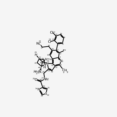 Cc1nc2c(F)c(-c3cccc(Cl)c3Cl)c(CCC#N)cc2c2c1cc([C@@H](C)NC(=O)c1cscn1)n2[C@H]1[C@H]2CN[C@@H]1C2